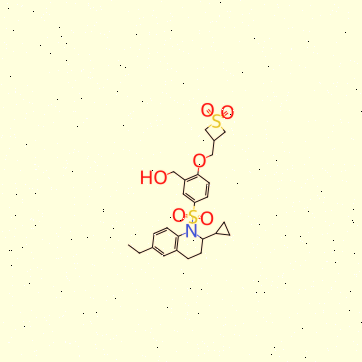 CCc1ccc2c(c1)CCC(C1CC1)N2S(=O)(=O)c1ccc(OCC2CS(=O)(=O)C2)c(CO)c1